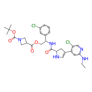 CCNc1cc(C2=CNC(C(=O)NC(COC(=O)C3CN(C(=O)OC(C)(C)C)C3)c3cccc(Cl)c3)C2)c(Cl)cn1